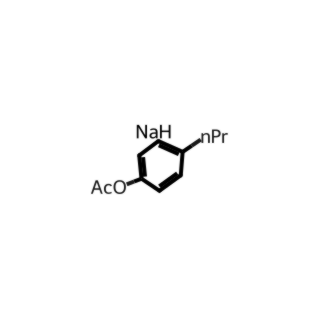 CCCc1ccc(OC(C)=O)cc1.[NaH]